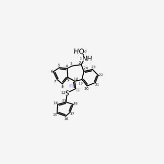 ONC1Cc2ccccc2/C(=C\Sc2ccccc2)c2ccccc21